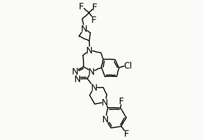 Fc1cnc(N2CCN(c3nnc4n3-c3ccc(Cl)cc3CN(C3CN(CC(F)(F)F)C3)C4)CC2)c(F)c1